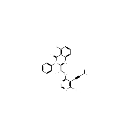 C[C@H](O)C#Cc1c(N)ncnc1N[C@@H](C)c1nc2cccc(Cl)c2c(=O)n1-c1ccccc1